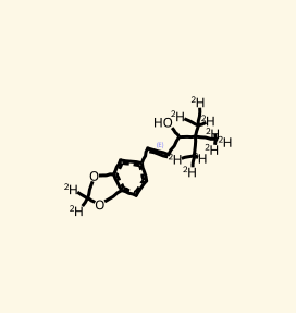 [2H]C1([2H])Oc2ccc(/C=C/C(O)C(C([2H])([2H])[2H])(C([2H])([2H])[2H])C([2H])([2H])[2H])cc2O1